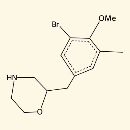 COc1c(C)cc(CC2CNCCO2)cc1Br